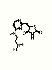 CCN(CC)CCN(C)c1ccnc(C=C2SC(=O)NC2=O)n1